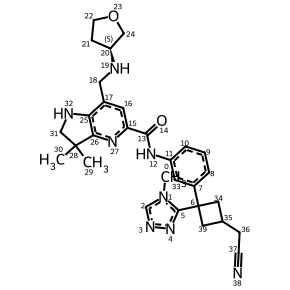 Cn1cnnc1C1(c2cccc(NC(=O)c3cc(CN[C@H]4CCOC4)c4c(n3)C(C)(C)CN4)c2)CC(CC#N)C1